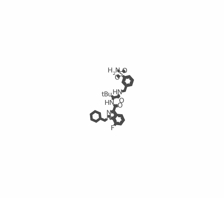 CC(C)(C)C(NC(=O)c1nn(CC2CCCCC2)c2c(F)cccc12)C(=O)NCc1cccc(S(N)(=O)=O)c1